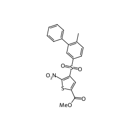 COC(=O)c1cc(S(=O)(=O)c2ccc(C)c(-c3ccccc3)c2)c([N+](=O)[O-])s1